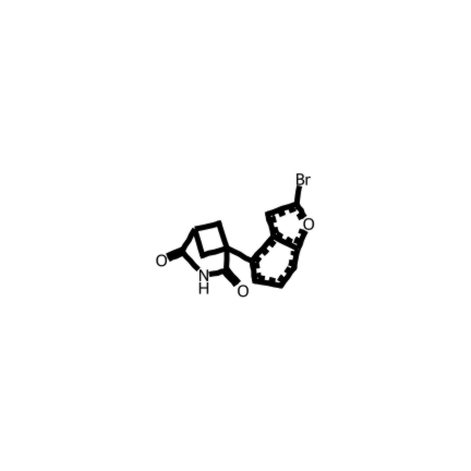 O=C1NC(=O)C2(c3cccc4oc(Br)cc34)CC1C2